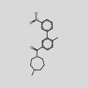 Cc1ccc(C(=O)N2CCCN(C)CC2)cc1-c1cccc([N+](=O)[O-])c1